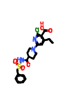 CCc1cc(N2CCC(C(=O)NS(=O)(=O)Cc3ccccc3)CC2)nc(Cl)c1C(=O)O